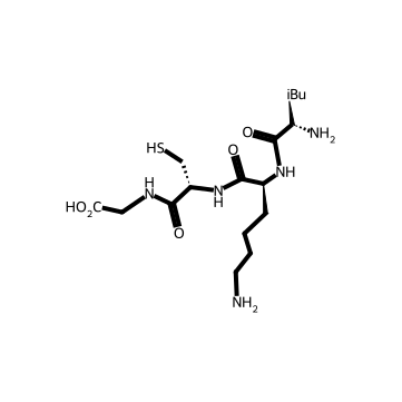 CC[C@H](C)[C@H](N)C(=O)N[C@@H](CCCCN)C(=O)N[C@@H](CS)C(=O)NCC(=O)O